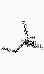 CCCCCCC/C=C/C=C/[C@@H](O)[C@H](COP(=O)(O)OCCN)NC(=O)CCCCCCC/C=C\CCCCCCCC